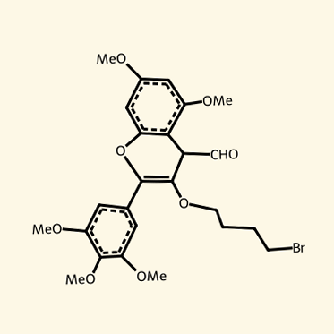 COc1cc(OC)c2c(c1)OC(c1cc(OC)c(OC)c(OC)c1)=C(OCCCCBr)C2C=O